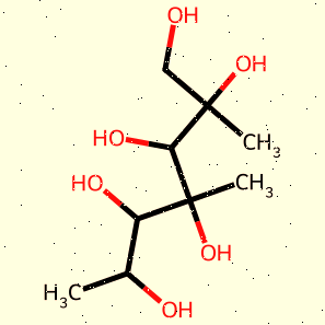 CC(O)C(O)C(C)(O)C(O)C(C)(O)CO